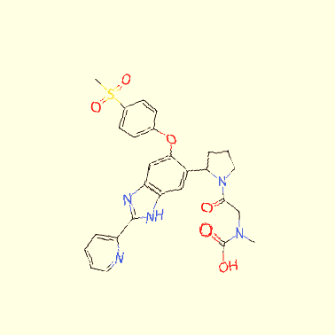 CN(CC(=O)N1CCCC1c1cc2[nH]c(-c3ccccn3)nc2cc1Oc1ccc(S(C)(=O)=O)cc1)C(=O)O